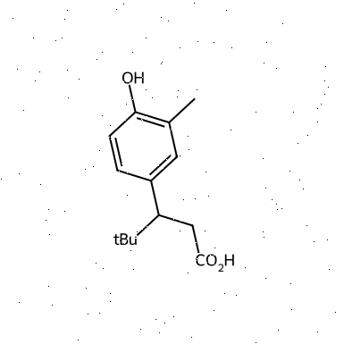 Cc1cc(C(CC(=O)O)C(C)(C)C)ccc1O